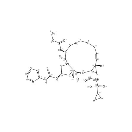 CC(C)(C)OC(=O)N[C@H]1COCCC/C=C\[C@@H]2C[C@@]2(C(=O)NS(=O)(=O)C2CC2)NC(=O)[C@@H]2C[C@@H](OC(=O)Nc3ccccc3)CN2C1=O